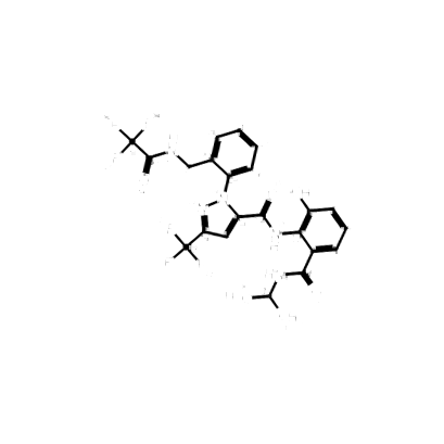 Cc1cccc(C(=O)NC(C)C)c1NC(=O)c1cc(C(F)(F)F)nn1-c1ccccc1CNC(=O)C(F)(F)F